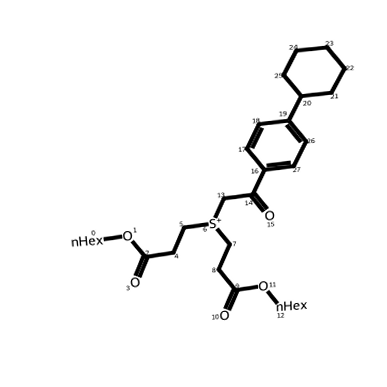 CCCCCCOC(=O)CC[S+](CCC(=O)OCCCCCC)CC(=O)c1ccc(C2CCCCC2)cc1